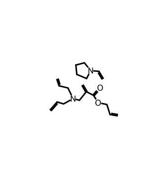 C=CCOC(=O)C(=C)CN(CC=C)CC=C.C=CN1CCCC1